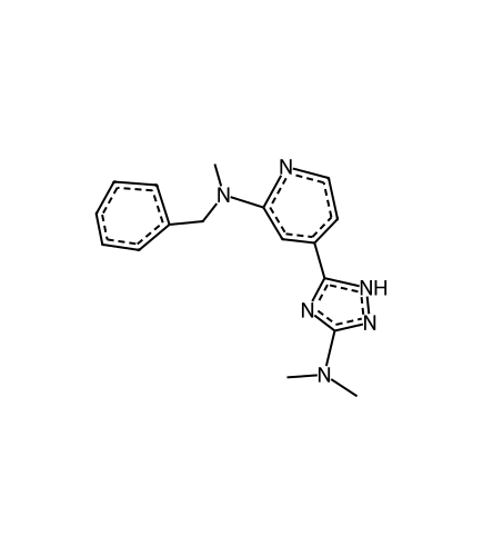 CN(C)c1n[nH]c(-c2ccnc(N(C)Cc3ccccc3)c2)n1